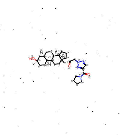 CC12CC[C@H]3[C@@H](CC[C@@H]4C[C@](C)(O)CC[C@@]43C)[C@@H]1CC[C@@H]2C(=O)Cn1ncc(C(=O)N2CCCC2)n1